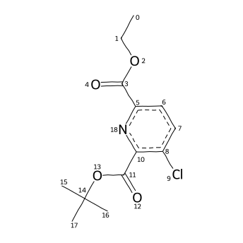 CCOC(=O)c1ccc(Cl)c(C(=O)OC(C)(C)C)n1